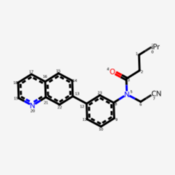 CC(C)CCC(=O)N(CC#N)c1cccc(-c2ccc3cccnc3c2)c1